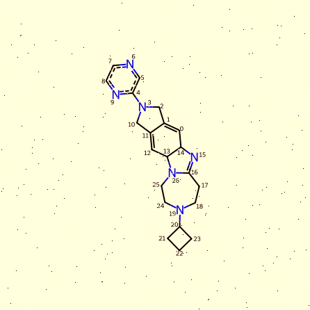 C1=C2CN(c3cnccn3)CC2=CC2C1N=C1CCN(C3CCC3)CCN12